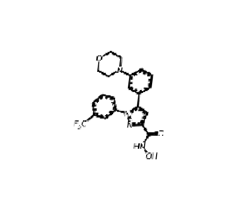 O=C(NO)c1cc(-c2cccc(N3CCOCC3)c2)n(-c2cccc(C(F)(F)F)c2)n1